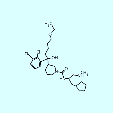 CCOCCCCC(O)(c1cccc(Cl)c1Cl)C1CCCN(C(=O)NC(CNC)CC2CCCC2)C1